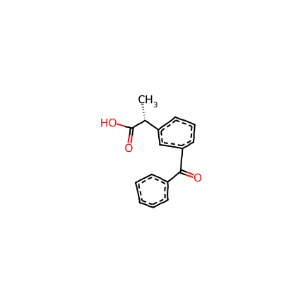 C[C@@H](C(=O)O)c1cccc(C(=O)c2ccccc2)c1